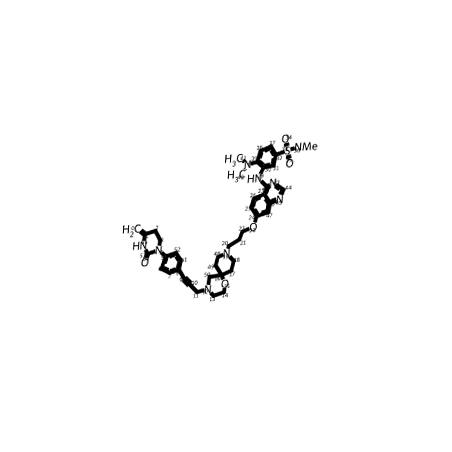 C=C1CCN(c2ccc(C#CCN3CCOC4(CCN(CCCOc5ccc6c(Nc7cc(S(=O)(=O)NC)ccc7N(C)C)ncnc6c5)CC4)C3)cc2)C(=O)N1